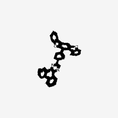 c1ccc2c(c1)oc1c(-c3ccc(-c4cnc5c6ccccc6c6ccccc6c5n4)cc3)c3c(cc12)oc1ccccc13